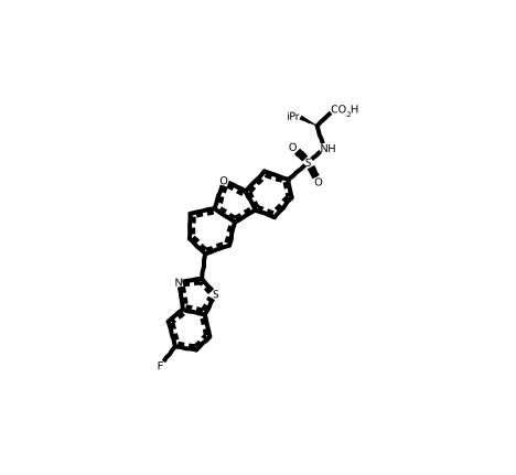 CC(C)[C@H](NS(=O)(=O)c1ccc2c(c1)oc1ccc(-c3nc4cc(F)ccc4s3)cc12)C(=O)O